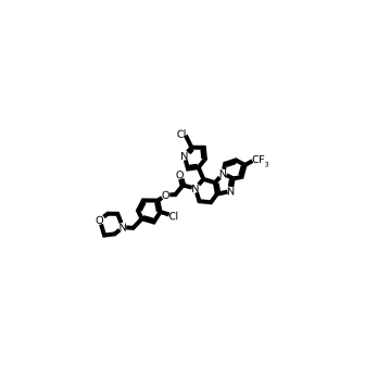 O=C(COc1ccc(CN2CCOCC2)cc1Cl)N1CCc2nc3cc(C(F)(F)F)ccn3c2C1c1ccc(Cl)nc1